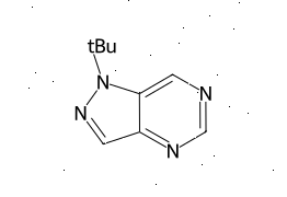 CC(C)(C)n1ncc2ncncc21